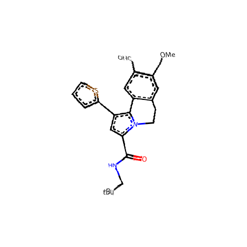 COc1cc2c(cc1C=O)-c1c(-c3cccs3)cc(C(=O)NCC(C)(C)C)n1CC2